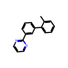 Cc1ccccc1-c1cccc(-c2ncccn2)c1